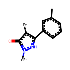 CCCn1[nH]c(-c2cccc(C)c2)c(CC)c1=O